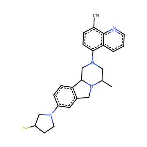 CC1CN(c2ccc(C#N)c3ncccc23)CC2c3ccc(N4CCC(F)C4)cc3CN12